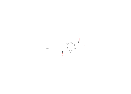 Cc1cc(C(=O)O)cc(C)c1C(=O)OCC1CO1